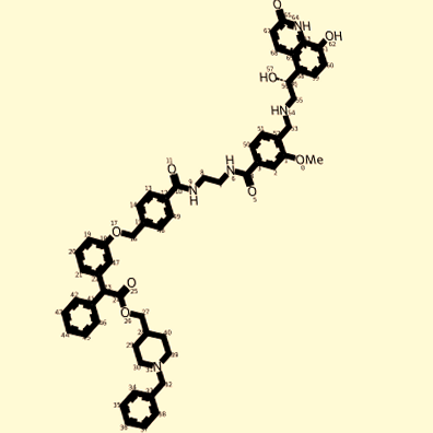 COc1cc(C(=O)NCCNC(=O)c2ccc(COc3cccc(C(C(=O)OCC4CCN(Cc5ccccc5)CC4)c4ccccc4)c3)cc2)ccc1CNC[C@H](O)c1ccc(O)c2[nH]c(=O)ccc12